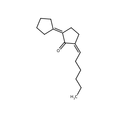 CCCCCC=C1CCC(=C2CCCC2)C1=O